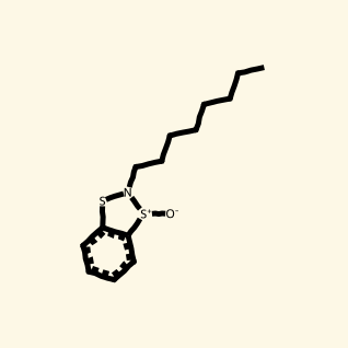 CCCCCCCCN1Sc2ccccc2[S+]1[O-]